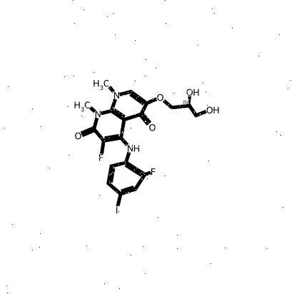 Cn1cc(OC[C@@H](O)CO)c(=O)c2c(Nc3ccc(I)cc3F)c(F)c(=O)n(C)c21